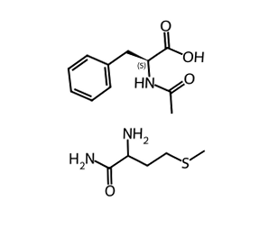 CC(=O)N[C@@H](Cc1ccccc1)C(=O)O.CSCCC(N)C(N)=O